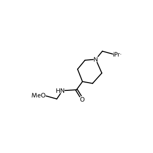 COCNC(=O)C1CCN(C[C](C)C)CC1